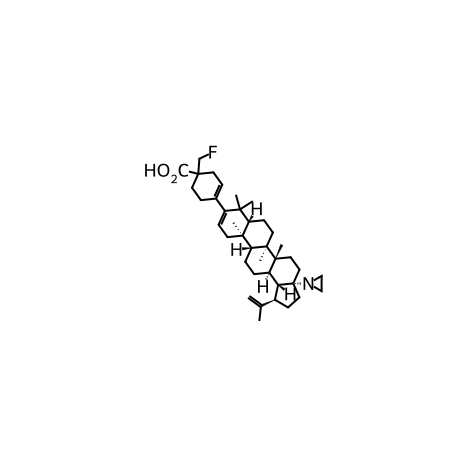 C=C(C)[C@@H]1CC[C@]2(N3CC3)CC[C@]3(C)[C@H](CC[C@@H]4[C@@]5(C)CC=C(C6=CCC(CF)(C(=O)O)CC6)C(C)(C)[C@@H]5CC[C@]43C)[C@@H]12